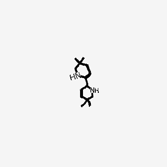 CC1(C)CCC(C2CCC(C)(C)CN2)NC1